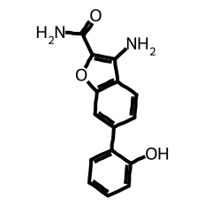 NC(=O)c1oc2cc(-c3ccccc3O)ccc2c1N